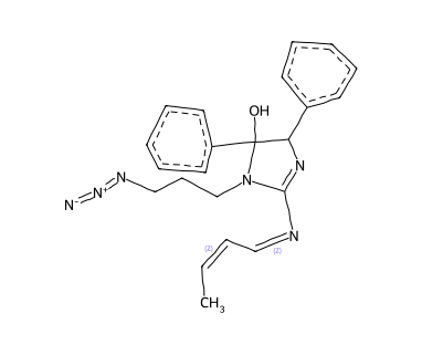 C/C=C\C=N/C1=NC(c2ccccc2)C(O)(c2ccccc2)N1CCCN=[N+]=[N-]